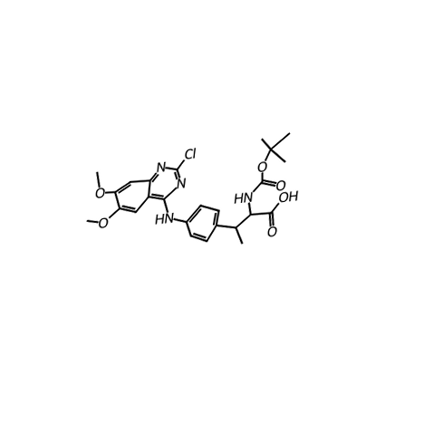 COc1cc2nc(Cl)nc(Nc3ccc(C(C)C(NC(=O)OC(C)(C)C)C(=O)O)cc3)c2cc1OC